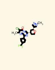 Cc1nc2c(-c3ccc(C(F)F)cc3)nc([C@H]3CCO[C@@H](c4cnn(C)c4)C3)cn2c(=O)c1Cl